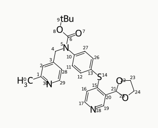 Cc1cc(CN(C(=O)OC(C)(C)C)c2ccc(Sc3ccncc3C3OCCO3)cc2)ccn1